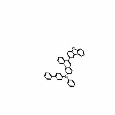 c1ccc(-c2ccc(N(c3ccccc3)c3ccc4cc(-c5ccc6oc7ccccc7c6c5)c5ccccc5c4c3)cc2)cc1